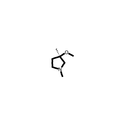 CO[C@]1(C)CCN(C)C1